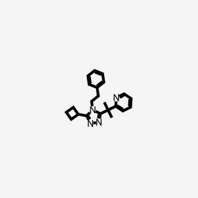 CC(C)(c1ccccn1)c1nnc(C2CCC2)n1CCc1ccccc1